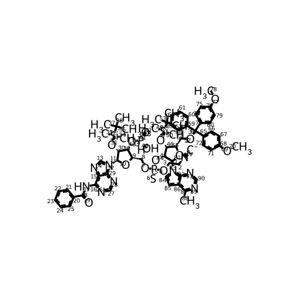 [C-]#[N+]CCOP(=S)(OC[C@H]1O[C@@H](n2cnc3c(NC(=O)c4ccccc4)ncnc32)[C@H](O[Si](C)(C)C(C)(C)C)[C@@H]1O[PH](=O)O)O[C@@H]1[C@H](O[Si](C)(C)C(C)(C)C)[C@@H](COC(c2ccccc2)(c2ccc(OC)cc2)c2ccc(OC)cc2)O[C@H]1n1ccc2c(C)ncnc21